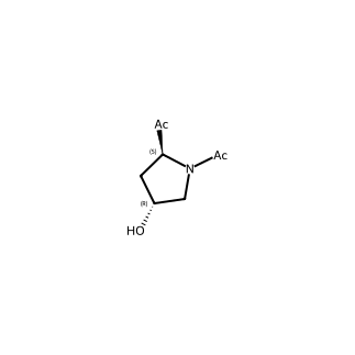 CC(=O)[C@@H]1C[C@@H](O)CN1C(C)=O